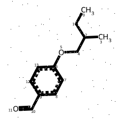 CCC(C)COc1ccc(C=O)cc1